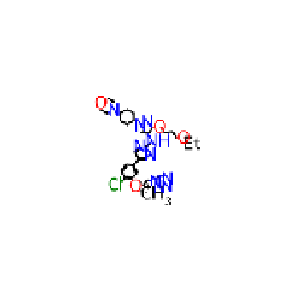 CCOCCCOc1nn([C@H]2CC[C@H](N3CCOCC3)CC2)cc1Nc1ncc(-c2ccc(Cl)c(O[C@@H](C)Cn3cnnn3)c2)cn1